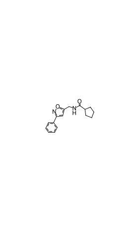 O=C(NCc1cc(-c2ccccc2)no1)C1CCCC1